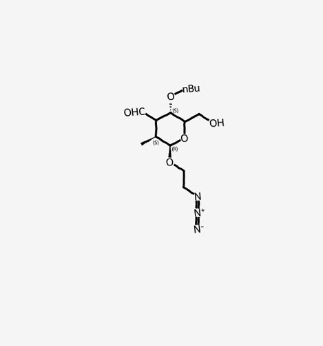 CCCCO[C@@H]1C(CO)O[C@@H](OCCN=[N+]=[N-])[C@@H](C)C1C=O